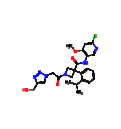 COc1cc(Cl)ncc1NC(=O)C1(c2ccccc2C(C)C)CN(C(=O)Cn2cc(CO)nn2)C1